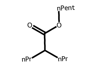 CCCCCOC(=O)C(CCC)CCC